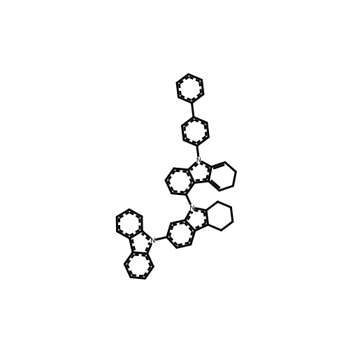 C1=c2c(n(-c3ccc(-c4ccccc4)cc3)c3cccc(-n4c5c(c6ccc(-n7c8ccccc8c8ccccc87)cc64)CCCC5)c23)=CCC1